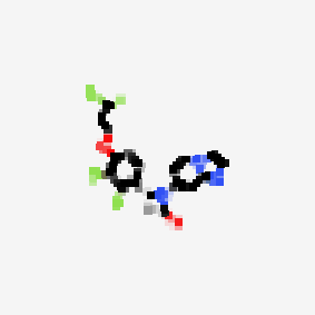 O=C1C[C@H](c2ccc(OCCC(F)F)c(F)c2F)N1c1ccn2ccnc2c1